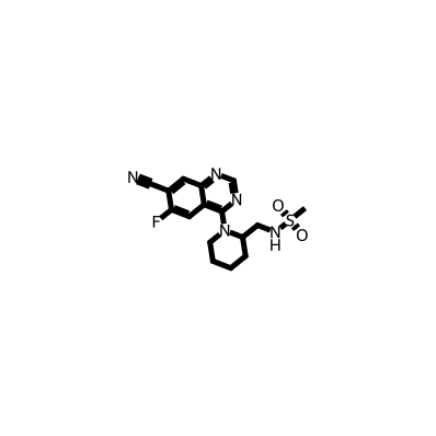 CS(=O)(=O)NCC1CCCCN1c1ncnc2cc(C#N)c(F)cc12